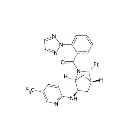 CC[C@@H]1[C@@H]2C[C@@H](Nc3ccc(C(F)(F)F)cn3)[C@H](C2)N1C(=O)c1ccccc1-n1nccn1